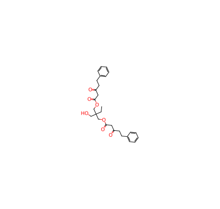 CCC(CO)(COC(=O)CC(=O)CCc1ccccc1)COC(=O)CC(=O)CCc1ccccc1